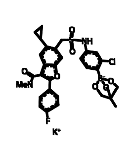 CNC(=O)c1c(-c2ccc(F)cc2)oc2cc(CS(=O)(=O)Nc3ccc([B-]45OCC(C)(CO4)CO5)c(Cl)c3)c(C3CC3)cc12.[K+]